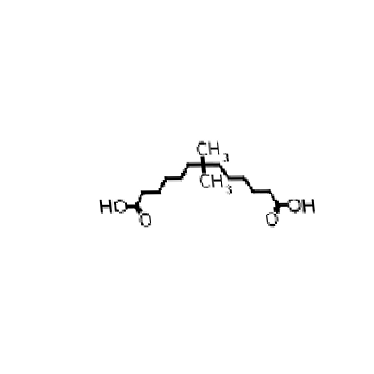 CC(C)(CCCCCC(=O)O)CCCCCC(=O)O